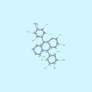 Fc1cc2c(-c3c(F)c(F)c(C(F)(F)F)c(F)c3F)c3cccc(F)c3c(-c3c(F)c(F)c(F)c(F)c3F)c2cc1F